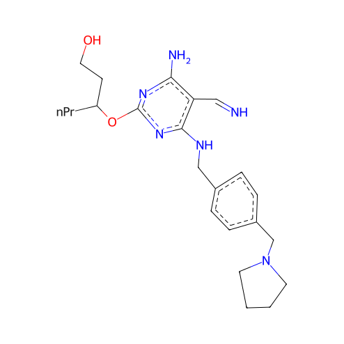 CCCC(CCO)Oc1nc(N)c(C=N)c(NCc2ccc(CN3CCCC3)cc2)n1